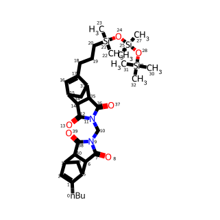 CCCCC1=CC2CC1C1C(=O)N(CN3C(=O)C4C5C=C(CCC[Si](C)(C)O[Si](C)(C)O[Si](C)(C)C)C(C5)C4C3=O)C(=O)C21